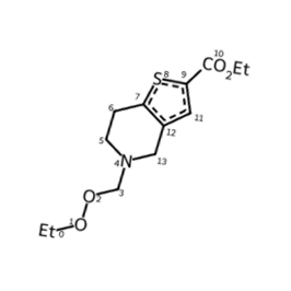 CCOOCN1CCc2sc(C(=O)OCC)cc2C1